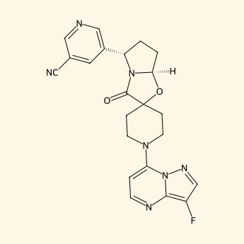 N#Cc1cncc([C@@H]2CC[C@H]3OC4(CCN(c5ccnc6c(F)cnn56)CC4)C(=O)N32)c1